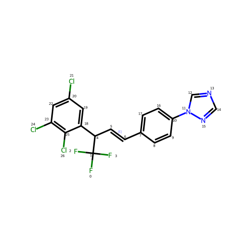 FC(F)(F)C(/C=C/c1ccc(-n2cncn2)cc1)c1cc(Cl)cc(Cl)c1Cl